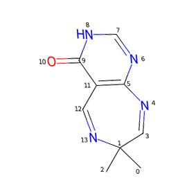 CC1(C)C=Nc2nc[nH]c(=O)c2C=N1